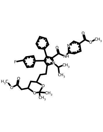 COC(=O)CC1CC(CCc2c(-c3ccc(F)cc3)c(-c3ccccc3)c(C(=O)Nc3ccc(C(=O)OC)cn3)n2C(C)C)OC(C)(C)O1